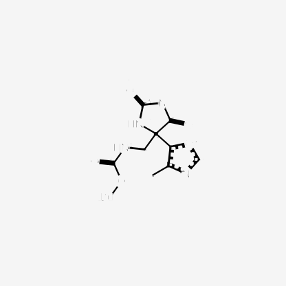 Cc1ncoc1C1(CNC(=O)OC(C)(C)C)NC(=O)NC1=O